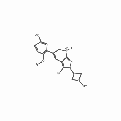 CCCOc1ncc(C(C)=O)cc1C1=Cc2c(nn(C3CN(C(C)C)C3)c2CC)[NH+]([O-])C1